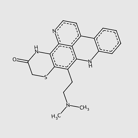 CN(C)CCc1c2c(c3nccc4c3c1Nc1ccccc1-4)NC(=O)CS2